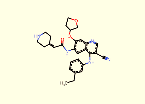 CCc1cccc(Nc2c(C#N)cnc3cc(OC4CCOC4)c(NC(=O)C=C4CCNCC4)cc23)c1